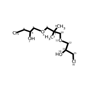 CC(C)(COCC(O)CCl)COCC(O)CCl